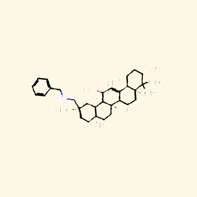 CC1(C)[C@@H](O)CC[C@]2(C)C3=CC(O)[C@]4(O)C5C[C@@](C)(CNCc6ccccc6)CC[C@]5(C)CC[C@@]4(C)[C@]3(C)CC[C@@H]12